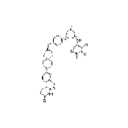 CN1C[C@H](Nc2cnn(C)c(=O)c2Cl)C[C@H](c2ccc(CN3CCC4(CC3)CCN(c3ccc(C5CCC(=O)NC5=O)c(F)c3)CC4)cc2)C1